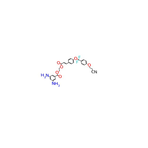 N#CCCOc1ccc(C(F)(F)Oc2ccc(C=CC(=O)OCCOC(=O)c3cc(N)cc(N)c3)cc2)cc1